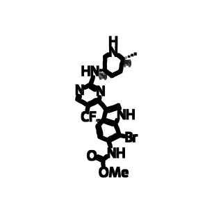 COC(=O)Nc1ccc2c(-c3nc(N[C@H]4CC[C@@H](C)NC4)ncc3C(F)(F)F)c[nH]c2c1Br